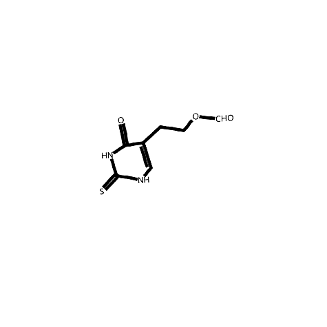 O=COCCc1c[nH]c(=S)[nH]c1=O